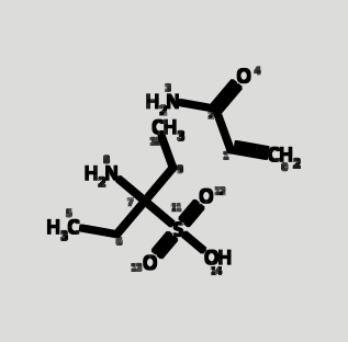 C=CC(N)=O.CCC(N)(CC)S(=O)(=O)O